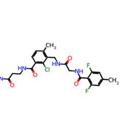 Cc1cc(F)c(C(=O)NCC(=O)NCc2c(C)ccc(C(=O)NCCC(N)=O)c2Cl)c(F)c1